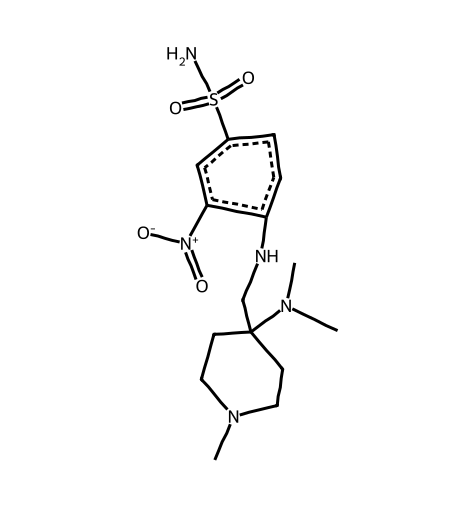 CN1CCC(CNc2ccc(S(N)(=O)=O)cc2[N+](=O)[O-])(N(C)C)CC1